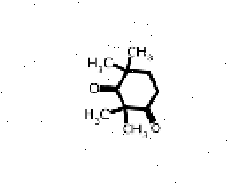 CC1(C)CCC(=O)C(C)(C)C1=O